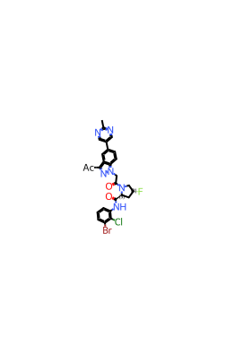 CC(=O)c1nn(CC(=O)N2C[C@H](F)C[C@H]2C(=O)Nc2cccc(Br)c2Cl)c2ccc(-c3cnc(C)nc3)cc12